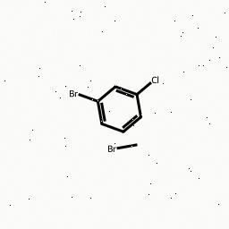 CBr.Clc1cccc(Br)c1